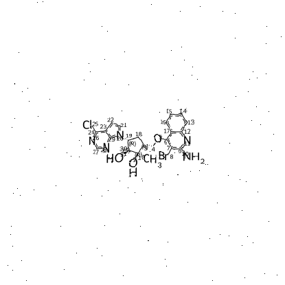 C[C@@]1(O)[C@@H](COc2c(Br)c(N)nc3ccccc23)C[C@@H](n2ccc3c(Cl)ncnc32)[C@@H]1O